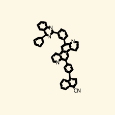 N#Cc1ccc(-c2ccc(-c3cc4c5cccnc5c(-c5cccc(-c6nc(-c7ccccc7)c7ccccc7n6)c5)cc4c4cccnc34)cc2)c2ccccc12